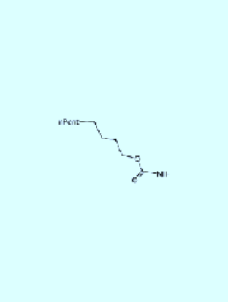 CCCCCCCCCOC([NH])=O